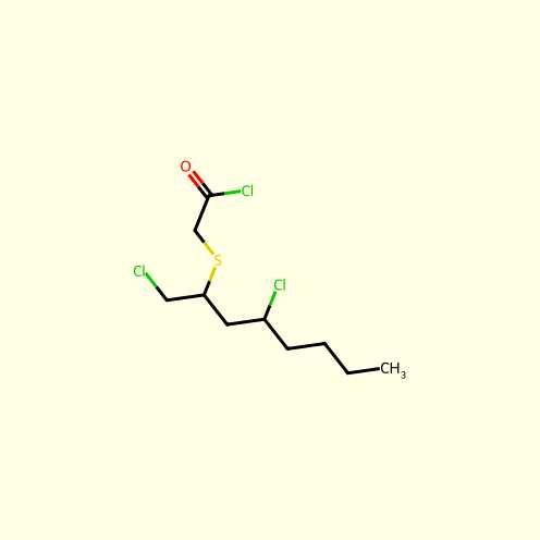 CCCCC(Cl)CC(CCl)SCC(=O)Cl